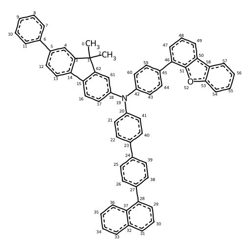 CC1(C)c2cc(-c3ccccc3)ccc2-c2ccc(N(c3ccc(-c4ccc(-c5cccc6ccccc56)cc4)cc3)c3ccc(-c4cccc5c4oc4ccccc45)cc3)cc21